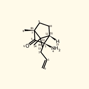 C=CC[C@]1(N)C(=O)[C@]2(C)CC[C@H]1C2(C)C